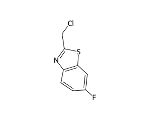 Fc1ccc2nc(CCl)sc2c1